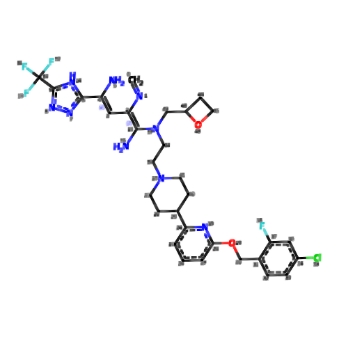 C=NC(/C=C(\N)c1nnc(C(F)(F)F)[nH]1)=C(/N)N(CCN1CCC(c2cccc(OCc3ccc(Cl)cc3F)n2)CC1)CC1CCO1